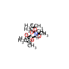 CC[Si](CC)(CC)O[C@H](CC=O)[C@H]1COC(C)(C)N1C(=O)OC(C)(C)C